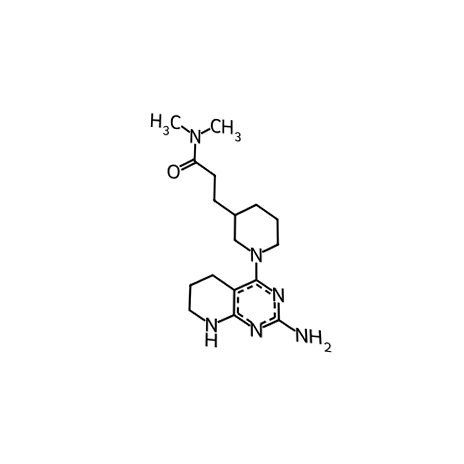 CN(C)C(=O)CCC1CCCN(c2nc(N)nc3c2CCCN3)C1